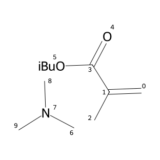 C=C(C)C(=O)OCC(C)C.CN(C)C